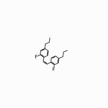 CCCc1ccc(/C=C\c2ccc(CCC)cc2F)c(F)c1